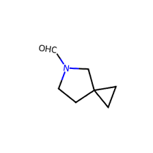 O=CN1CCC2(CC2)C1